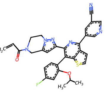 C=CC(=O)N1CCn2nc(-c3nc(-c4cncc(C#N)c4)c4ccsc4c3-c3ccc(F)cc3OC(C)C)cc2C1